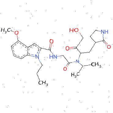 CCCn1c(C(=O)NCC(=O)N(C(C)C)C(CC2CCNC2=O)C(=O)CO)cc2c(OC)cccc21